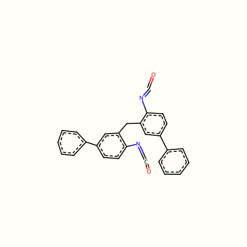 O=C=Nc1ccc(-c2ccccc2)cc1Cc1cc(-c2ccccc2)ccc1N=C=O